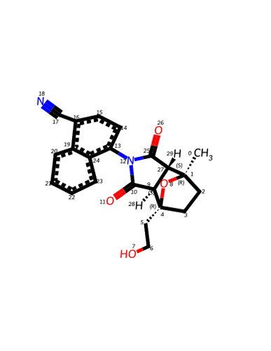 C[C@]12CC[C@](CCO)(O1)[C@H]1C(=O)N(c3ccc(C#N)c4ccccc34)C(=O)[C@@H]12